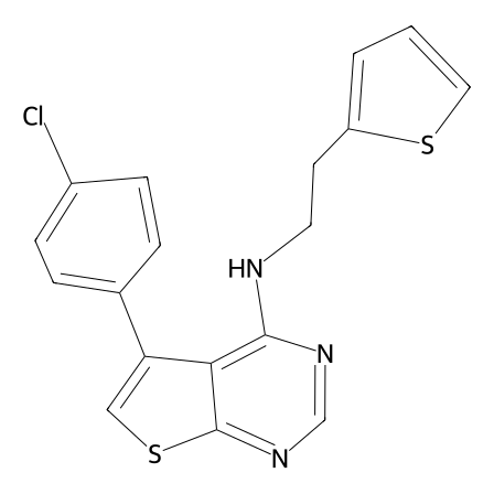 Clc1ccc(-c2csc3ncnc(NCCc4cccs4)c23)cc1